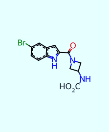 O=C(O)NC1CN(C(=O)c2cc3cc(Br)ccc3[nH]2)C1